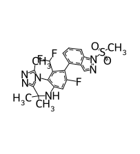 Cc1nnc2n1-c1c(cc(F)c(-c3cccc4c3cnn4S(C)(=O)=O)c1C(F)F)NC2(C)C